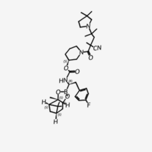 CC1(C)CCN(C(C)(C)CC(C)(C#N)C(=O)N2CCC[C@H](OC(=O)N[C@@H](Cc3ccc(F)cc3)B3O[C@@H]4C[C@@H]5C[C@@H](C5(C)C)[C@]4(C)O3)C2)C1